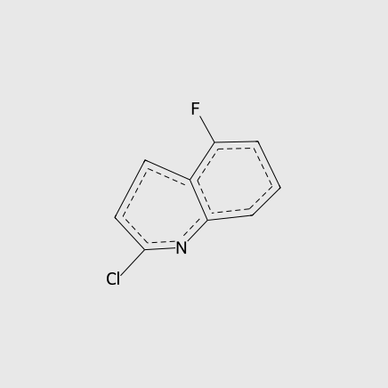 Fc1cccc2nc(Cl)ccc12